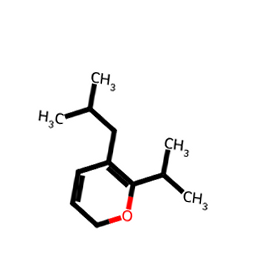 CC(C)CC1=C(C(C)C)OCC=C1